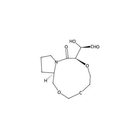 O=C[C@H](O)[C@H]1OCCCCOC[C@H]2CCCN2C1=O